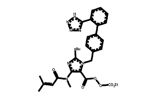 CCCCc1nc(N(C)C(=O)C=C(C)C)c(C(=O)OOC(=O)OCC)n1Cc1ccc(-c2ccccc2-c2nnn[nH]2)cc1